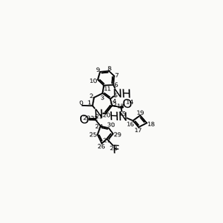 CC1Cc2c([nH]c3ccccc23)C(C(=O)NC2=CC=C2)=CN1C(=O)c1ccc(F)cc1